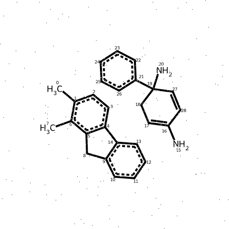 Cc1ccc2c(c1C)Cc1ccccc1-2.NC1=CCC(N)(c2ccccc2)C=C1